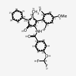 COc1cc(F)c(-c2c(NC(=O)c3ccc(OC(F)F)cc3)c(=O)n(-c3ccccc3)n2C)c(F)c1